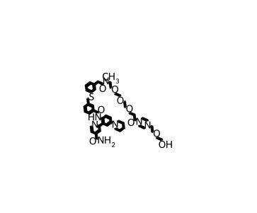 CN(CCOCCOCCOCCC(=O)N1CCN(CCOCCO)CC1)C(=O)Cc1cccc(SCc2cccc(C(=O)Nc3ccc(N4CCCCC4)cc3-c3cc(C(N)=O)ccn3)c2)c1